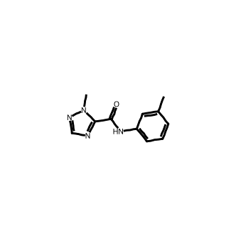 Cc1cccc(NC(=O)c2ncnn2C)c1